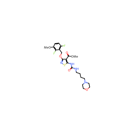 COC(=O)c1c(OCc2c(F)ccc(OC)c2F)nsc1NC(=O)NCCCCN1CCOCC1